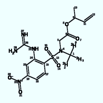 [2H]C([2H])([2H])N(CC(=O)OC(C)C=C)S(=O)(=O)c1ccc([N+](=O)[O-])cc1NC(=N)N